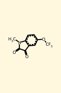 CN1C(=O)C(=O)c2cc(OC(F)(F)F)ccc21